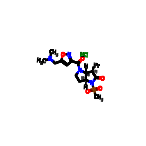 CC(C)[C@H]1C(=O)N(S(C)(=O)=O)[C@H]2CCN(C(=O)c3cc(CN(C)C)on3)[C@H]12.Cl